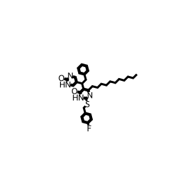 CCCCCCCCCCCc1nc(SCc2ccc(F)cc2)[nH]c(=O)c1C(Cc1ccccc1)c1cnc(=O)[nH]c1